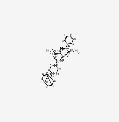 Nc1nc2nc(N3CCN(C45CC6CC(CC(C6)C4)C5)CC3)nc(N)c2nc1-c1ccccc1